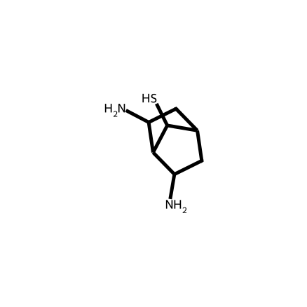 NC1CC2CC(N)C1C2S